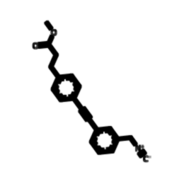 [C-]#[N+]Cc1cccc(C#Cc2ccc(CCC(=O)OC)cc2)c1